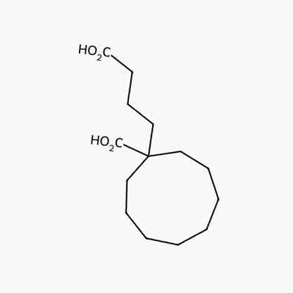 O=C(O)CCCC1(C(=O)O)CCCCCCCC1